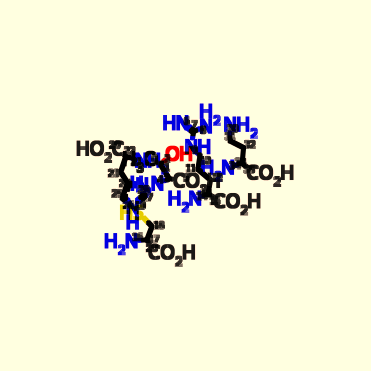 CC(O)C(N)C(=O)O.N=C(N)NCCCC(N)C(=O)O.NC(CS)C(=O)O.NC(Cc1c[nH]cn1)C(=O)O.NCCC(N)C(=O)O